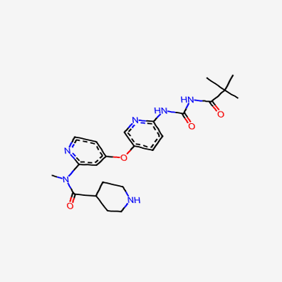 CN(C(=O)C1CCNCC1)c1cc(Oc2ccc(NC(=O)NC(=O)C(C)(C)C)nc2)ccn1